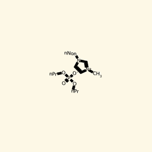 CCCCCCCCCn1cc[n+](C)c1.CCCOP(=O)([O-])OCCC